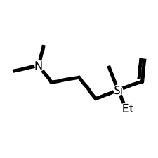 C=C[Si](C)(CC)CCCN(C)C